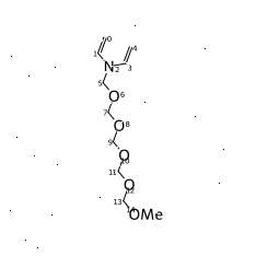 C=CN(C=C)COCOCOCOCOC